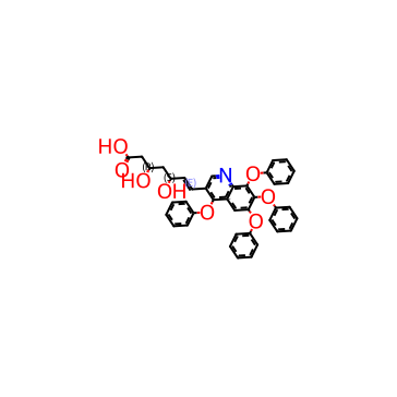 O=C(O)C[C@H](O)C[C@H](O)/C=C/c1cnc2c(Oc3ccccc3)c(Oc3ccccc3)c(Oc3ccccc3)cc2c1Oc1ccccc1